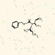 C=CC(=C)N(C(=O)OCc1ccccc1)/C(C)=C/C